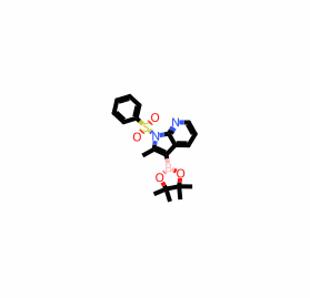 Cc1c(B2OC(C)(C)C(C)(C)O2)c2cccnc2n1S(=O)(=O)c1ccccc1